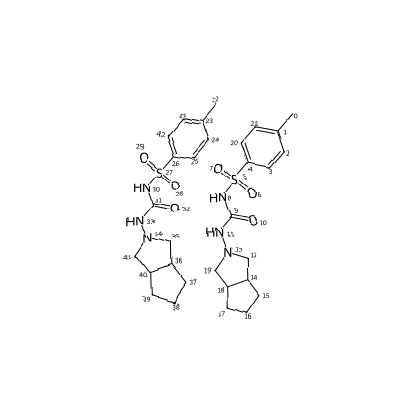 Cc1ccc(S(=O)(=O)NC(=O)NN2CC3CCCC3C2)cc1.Cc1ccc(S(=O)(=O)NC(=O)NN2CC3CCCC3C2)cc1